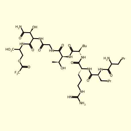 CC[C@H](C)[C@H](NC(=O)[C@@H](CCCNC(=N)N)NC(=O)[C@H](CC(C)C)NC(=O)C(N)CC(C)C)C(=O)N[C@H](C(=O)NCC(=O)NC(C(=O)NC(COC(=O)C(F)(F)F)C(=O)O)[C@H](O)C(N)=O)[C@H](C)O